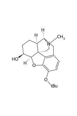 CN1CC[C@]23c4c5ccc(OC(C)(C)C)c4O[C@H]2[C@@H](O)CC[C@H]3[C@H]1C5